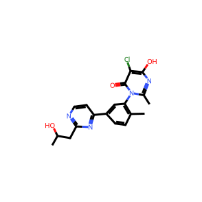 Cc1ccc(-c2ccnc(CC(C)O)n2)cc1-n1c(C)nc(O)c(Cl)c1=O